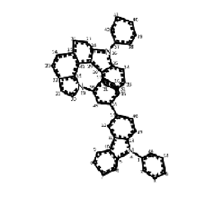 c1ccc(-n2c3ccccc3c3cc(-c4cccc(-n5ccc6ccc7ccc8c(c9ccccc9n8-c8ccccc8)c7c65)c4)ccc32)cc1